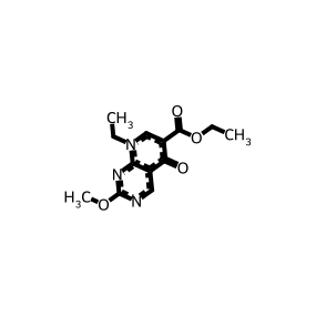 CCOC(=O)c1cn(CC)c2nc(OC)ncc2c1=O